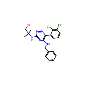 CC(C)(CO)Nc1nnc(-c2cccc(Cl)c2Cl)c(NCc2ccccc2)n1